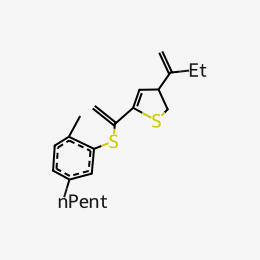 C=C(Sc1cc(CCCCC)ccc1C)C1=CC(C(=C)CC)CS1